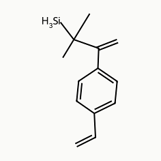 C=Cc1ccc(C(=C)C(C)(C)[SiH3])cc1